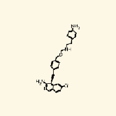 Nc1ccc(CCNCOCc2ccc(C#Cc3c(N)ncc4ccc(Cl)cc34)cc2)cc1